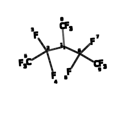 FC(F)(F)[C](C(F)(F)C(F)(F)F)C(F)(F)C(F)(F)F